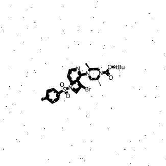 Cc1ccc(S(=O)(=O)n2cc(Br)c3c(N4C[C@@H](C)N(C(=O)OC(C)(C)C)C[C@@H]4C)nccc32)cc1